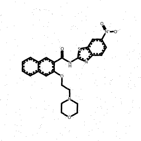 O=C(Nc1nc2ccc([N+](=O)[O-])cc2s1)c1cc2ccccc2cc1OCCN1CCOCC1